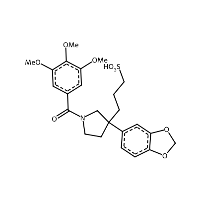 COc1cc(C(=O)N2CCC(CCCS(=O)(=O)O)(c3ccc4c(c3)OCO4)C2)cc(OC)c1OC